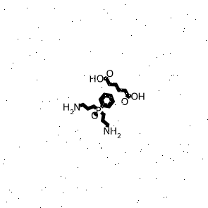 NCCCP(=O)(CCCN)c1ccccc1.O=C(O)CCCCC(=O)O